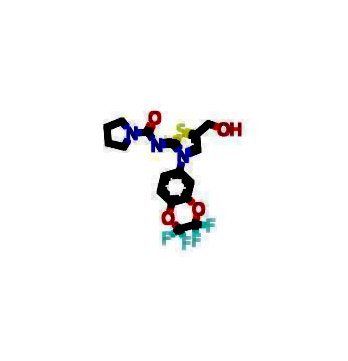 O=C(N=c1sc(CO)cn1-c1ccc2c(c1)OC(F)(F)C(F)(F)O2)N1CCCC1